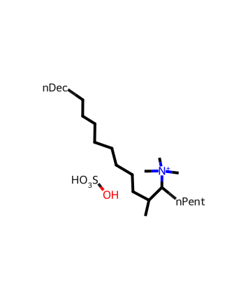 CCCCCCCCCCCCCCCCCCC(C)C(CCCCC)[N+](C)(C)C.O=S(=O)(O)O